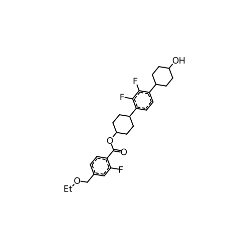 CCOCc1ccc(C(=O)OC2CCC(c3ccc(C4CCC(O)CC4)c(F)c3F)CC2)c(F)c1